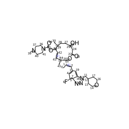 C/C(=C\c1cc(F)c2nnn(CC3CCOCC3)c2c1)[C@H]1OC(=O)C[C@H](O)CC[C@H](C)[C@H](OC(=O)N2CCN(C)CC2)/C=C/[C@@H]1C